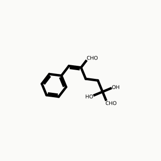 O=CC(=Cc1ccccc1)CCC(O)(O)C=O